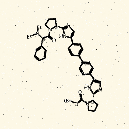 CCN(CC)[C@@H](C(=O)N1CCC[C@H]1c1ncc(-c2ccc(-c3ccc(-c4cnc([C@@H]5CCCN5C(=O)OC(C)(C)C)[nH]4)cc3)cc2)[nH]1)c1ccccc1